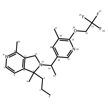 CCCC1(C)c2ccnc(C)c2CN1C(C)c1cnc(OCC(F)(F)F)c(C)c1